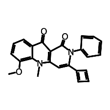 COc1cccc2c(=O)c3c(=O)n(-c4ccccc4)c(C4=CC=C4)cc3n(C)c12